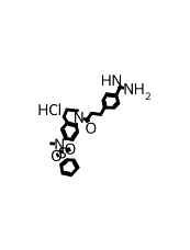 CN(c1ccc2c(c1)CCCN2C(=O)CCc1ccc(C(=N)N)cc1)S(=O)(=O)c1ccccc1.Cl